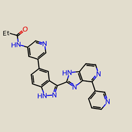 CCC(=O)Nc1cncc(-c2ccc3[nH]nc(-c4nc5c(-c6cccnc6)nccc5[nH]4)c3c2)c1